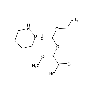 C1C[CH2][AlH][O]C1.CCOC(C)OC(OC)C(=O)O